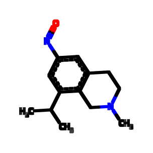 CC(C)c1cc(N=O)cc2c1CN(C)CC2